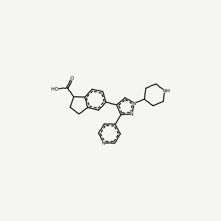 O=C(O)C1CCc2cc(-c3cn(C4CCNCC4)nc3-c3ccncc3)ccc21